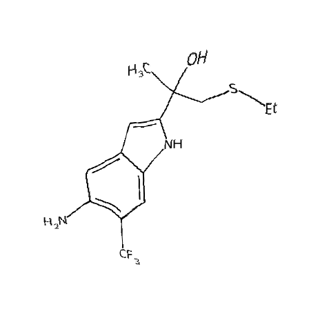 CCSCC(C)(O)c1cc2cc(N)c(C(F)(F)F)cc2[nH]1